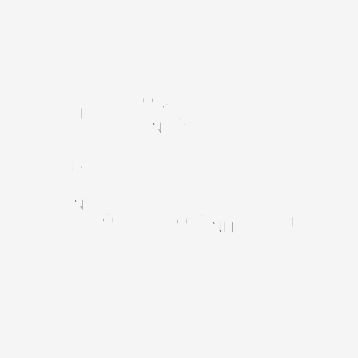 CNC(=O)c1c(-c2ccc(F)cc2)oc2cc(N(CCC(C)(C)F)S(C)(=O)=O)c(-c3ccc(OC)c(-c4nc5ccccc5o4)c3)cc12